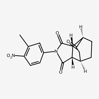 Cc1cc(N2C(=O)[C@H]3[C@@H]4CC[C@@H](C(=O)C4)[C@H]3C2=O)ccc1[N+](=O)[O-]